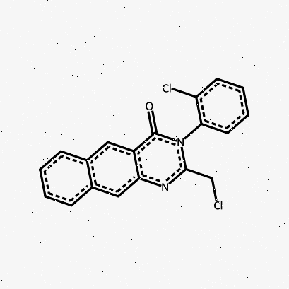 O=c1c2cc3ccccc3cc2nc(CCl)n1-c1ccccc1Cl